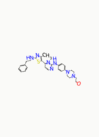 Cc1nc(NCCc2ccccc2)sc1-c1ccnc(Nc2ccc(N3CCN(CC=O)CC3)cc2)n1